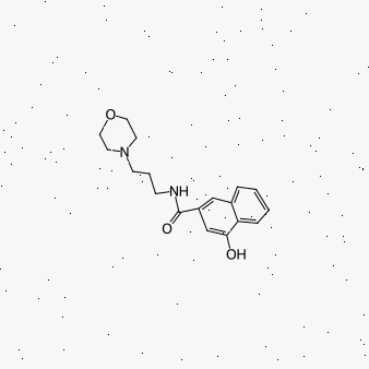 O=C(NCCCN1CCOCC1)c1cc(O)c2ccccc2c1